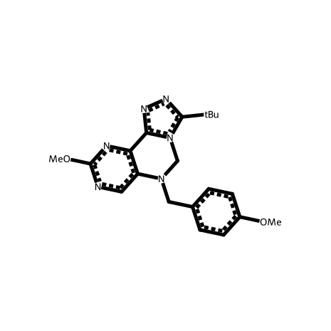 COc1ccc(CN2Cn3c(nnc3C(C)(C)C)-c3nc(OC)ncc32)cc1